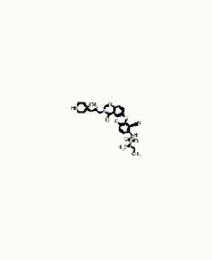 CCN(C)S(=O)(=O)Nc1ccc(F)c(Oc2ccc3ncn(CCCC4(C)CCNCC4)c(=O)c3c2)c1C#N